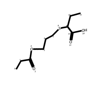 CCC(=O)OCCCSC(CC)C(=O)O